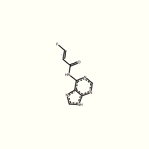 O=C(/C=C/F)Nc1ncnc2[nH]cnc12